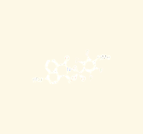 CCCCc1ccc2c3c(cccc13)C(=O)N(OS(=O)(=O)c1c(F)c(F)c(OC)c(F)c1F)C2=O